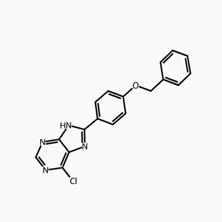 Clc1ncnc2[nH]c(-c3ccc(OCc4ccccc4)cc3)nc12